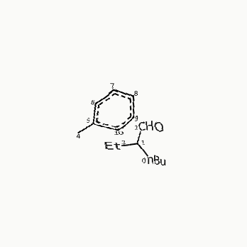 CCCCC(C=O)CC.Cc1ccccc1